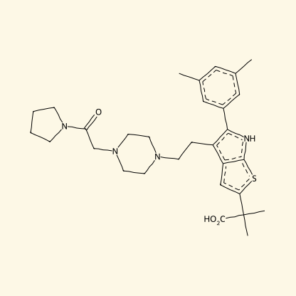 Cc1cc(C)cc(-c2[nH]c3sc(C(C)(C)C(=O)O)cc3c2CCN2CCN(CC(=O)N3CCCC3)CC2)c1